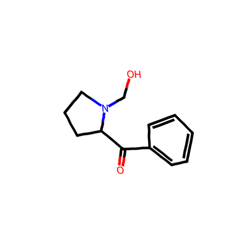 O=C(c1ccccc1)C1CCCN1CO